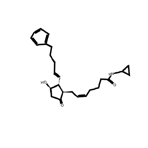 O=C(CCC/C=C\C[C@H]1C(=O)C[C@@H](O)[C@@H]1/C=C/CCCc1ccccc1)NC1CC1